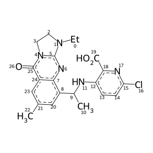 CCN1CCn2c1nc1c(C(C)Nc3ccc(Cl)nc3C(=O)O)cc(C)cc1c2=O